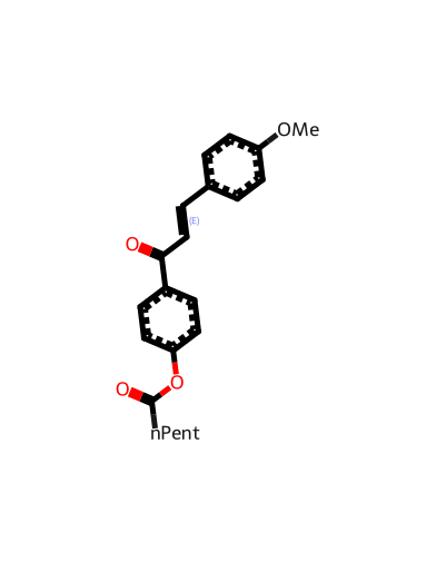 CCCCCC(=O)Oc1ccc(C(=O)/C=C/c2ccc(OC)cc2)cc1